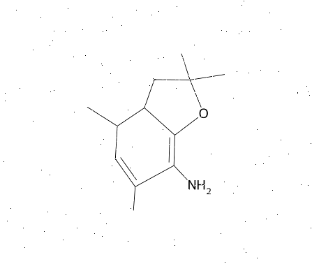 CC1=CC(C)C2CC(C)(C)OC2=C1N